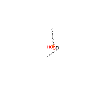 CCCCCCCCCCCCOP(O)Oc1ccccc1CCCCCCCCC